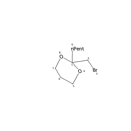 CCCCCC1(CBr)OCCCO1